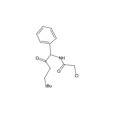 CC(C)(C)CCC(=O)C(NC(=O)CCl)c1ccccc1